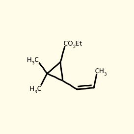 C/C=C\C1C(C(=O)OCC)C1(C)C